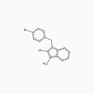 CCc1ccc(Cc2c(Cl)n(C)c3ccc[c]c23)cc1